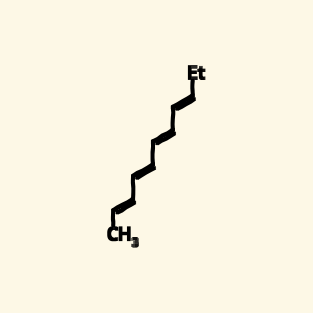 C/C=C/C=C/C=C/C=C/CC